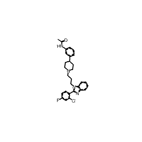 CC(=O)Nc1cccc(C2CCN(CCCn3c(-c4ccc(F)cc4Cl)nc4ccccc43)CC2)c1